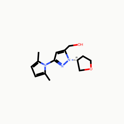 Cc1ccc(C)n1-c1cc(CO)n([C@@H]2CCOC2)n1